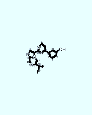 Oc1cccc(-c2ccnc(-c3cnc4cnc(C(F)F)cn34)n2)c1